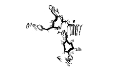 COCc1cc(O)nc(NC(=N)Nc2ccc(OC(F)(F)F)cc2)n1